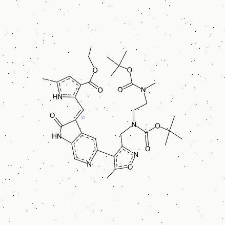 CCOC(=O)c1cc(C)[nH]c1/C=C1\C(=O)Nc2cnc(-c3c(CN(CCN(C)C(=O)OC(C)(C)C)C(=O)OC(C)(C)C)noc3C)cc21